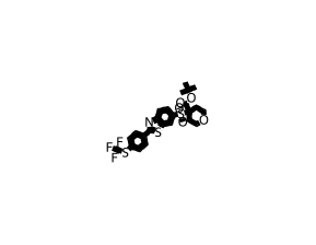 CC(C)(C)OC(=O)C1(S(=O)(=O)c2ccc3nc(-c4ccc(SC(F)(F)F)cc4)sc3c2)CCOCC1